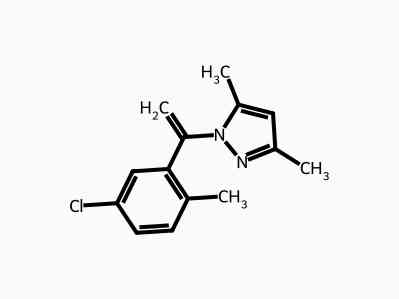 C=C(c1cc(Cl)ccc1C)n1nc(C)cc1C